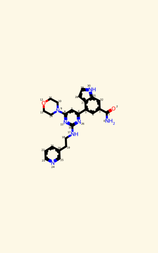 NC(=O)c1cc(-c2cc(N3CCOCC3)nc(NCCc3cccnc3)n2)c2cc[nH]c2c1